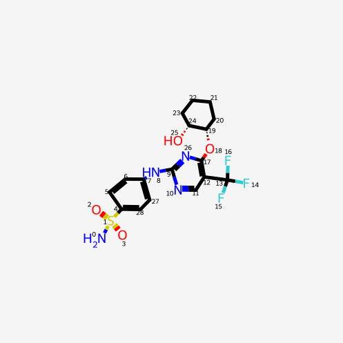 NS(=O)(=O)c1ccc(Nc2ncc(C(F)(F)F)c(O[C@H]3CCCC[C@H]3O)n2)cc1